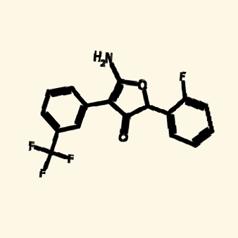 NC1=C(c2cccc(C(F)(F)F)c2)C(=O)C(c2ccccc2F)O1